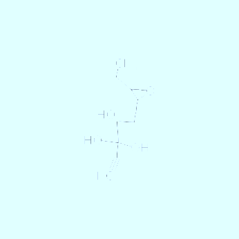 C#CC(O)(O)C(O)CC1OC1CC